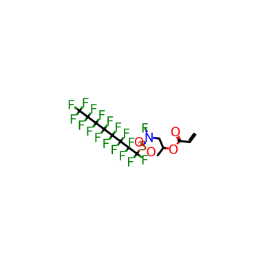 C=CC(=O)OC(C)CN(F)S(=O)(=O)C(F)(F)C(F)(F)C(F)(F)C(F)(F)C(F)(F)C(F)(F)C(F)(F)C(F)(F)F